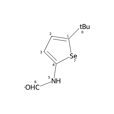 CC(C)(C)c1ccc(N[C]=O)[se]1